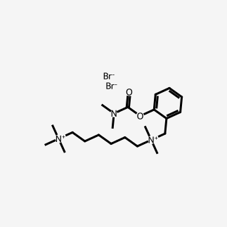 CN(C)C(=O)Oc1ccccc1C[N+](C)(C)CCCCCC[N+](C)(C)C.[Br-].[Br-]